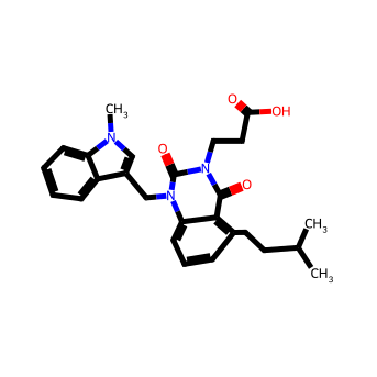 CC(C)CCc1cccc2c1c(=O)n(CCC(=O)O)c(=O)n2Cc1cn(C)c2ccccc12